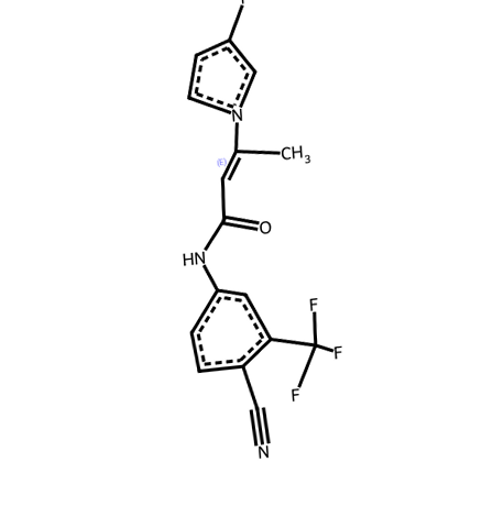 C/C(=C\C(=O)Nc1ccc(C#N)c(C(F)(F)F)c1)n1ccc(F)c1